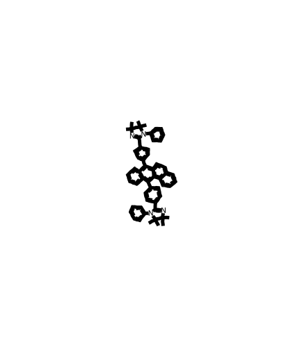 CC1(C)N=C(c2ccc(-c3c4ccccc4c(-c4ccc(C5=NC(C)(C)C(C)(C)N5c5ccccc5)cc4)c4c3ccc3ccccc34)cc2)N(c2ccccc2)C1(C)C